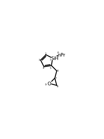 CCC[SiH]1C=CC=C1CC1CO1